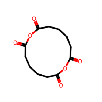 O=C1CCCCC(=O)OC(=O)CCCCC(=O)O1